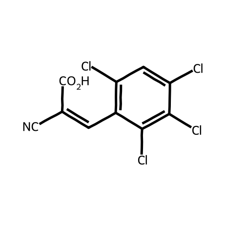 N#CC(=Cc1c(Cl)cc(Cl)c(Cl)c1Cl)C(=O)O